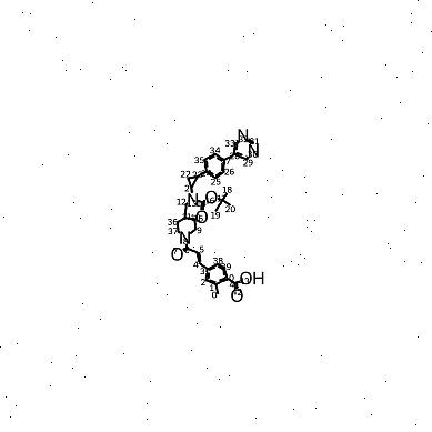 Cc1cc(C=CC(=O)N2CCC(CN(C(=O)OC(C)(C)C)C3CC3c3ccc(-c4cncnc4)cc3)CC2)ccc1C(=O)O